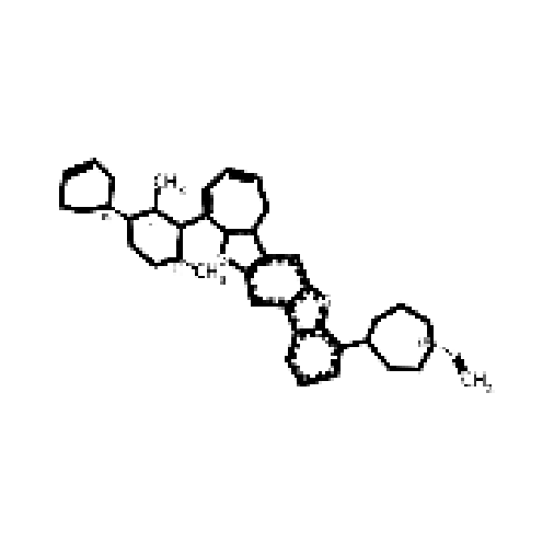 C=C[C@H]1CCCC(c2cccc3c2sc2cc4c(cc23)SC2C(C3[C@H](C)C([C@@H]5CC=CCC5)CC[C@H]3C)=CC=CCC42)CC1